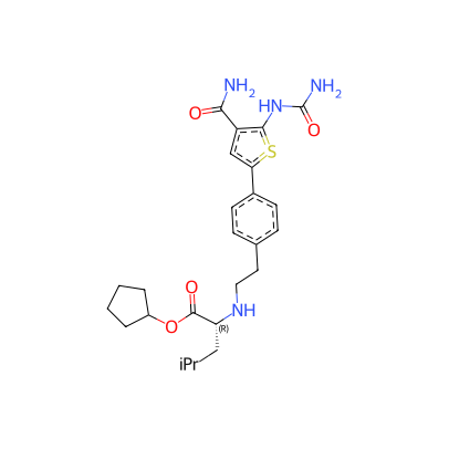 CC(C)C[C@@H](NCCc1ccc(-c2cc(C(N)=O)c(NC(N)=O)s2)cc1)C(=O)OC1CCCC1